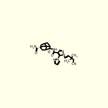 CC(C)(/C=C/n1ncc(C(=O)N[C@H]2C3CC4CC2C[C@](C(N)=O)(C4)C3)c1-n1cccn1)CC#N